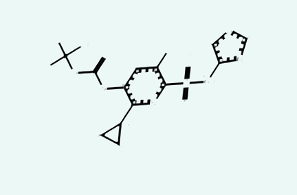 CC(C)(C)OC(=O)Nc1cc(F)c(S(=O)(=O)Nc2cscn2)nc1C1CC1